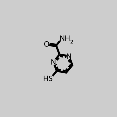 NC(=O)c1nccc(S)n1